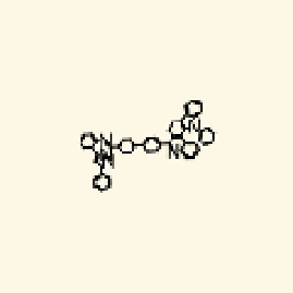 c1ccc(-c2cc3c4ccccc4nc(-c4ccc(-c5ccc(-c6nc7ccccc7c7c6ccc6c8ccccc8n(-c8ccccc8)c67)cc5)cc4)n3n2)cc1